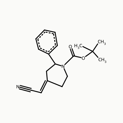 CC(C)(C)OC(=O)N1CC/C(=C/C#N)CC1c1ccccc1